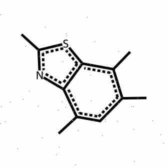 Cc1nc2c(C)cc(C)c(C)c2s1